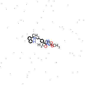 COC(=O)CNC(=O)C(C)(C)c1ccc(CCCN[C@H](C)c2cccc3ccccc23)cc1